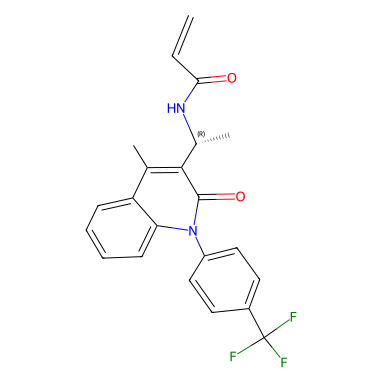 C=CC(=O)N[C@H](C)c1c(C)c2ccccc2n(-c2ccc(C(F)(F)F)cc2)c1=O